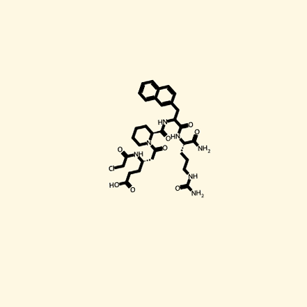 NC(=O)NCCC[C@H](NC(=O)C(Cc1ccc2ccccc2c1)NC(=O)[C@@H]1CCCCN1C(=O)C[C@H](CCC(=O)O)NC(=O)CCl)C(N)=O